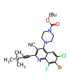 CC(C)(C)OC(=O)N1CCN(c2c(C#N)c(C#C[Si](C)(C)C)nc3c(F)c(Br)c(Cl)cc23)CC1